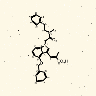 CC(=Cc1cn(CC(=O)N(C)CCc2ccccc2)c2cccc(OCc3ccccc3)c12)C(=O)O